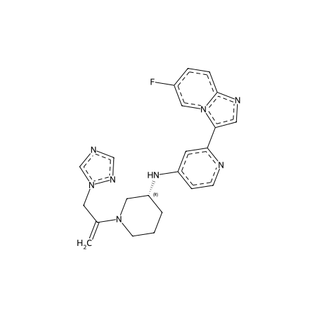 C=C(Cn1cncn1)N1CCC[C@@H](Nc2ccnc(-c3cnc4ccc(F)cn34)c2)C1